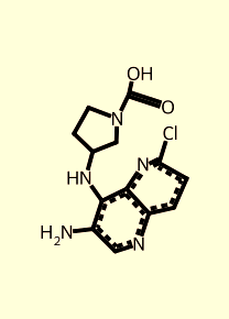 Nc1cnc2ccc(Cl)nc2c1NC1CCN(C(=O)O)C1